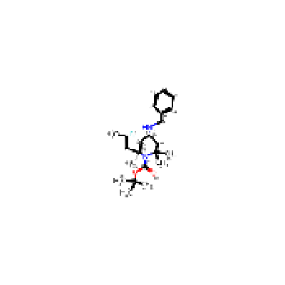 CCC[C@@]1(C)[C@H](F)[C@H](NCc2ccccc2)CC(C)(C)N1C(=O)OC(C)(C)C